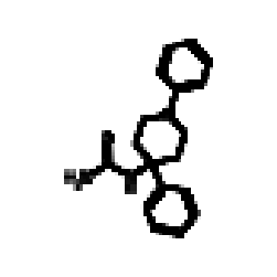 NC(=O)NC1(c2ccccc2)CCN(c2ccccc2)CC1